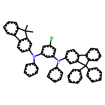 CC1(C)c2ccccc2-c2ccc(N(c3ccccc3)c3cc(Br)cc(N(c4ccccc4)c4ccc5c(c4)C(c4ccccc4)(c4ccccc4)c4ccccc4-5)c3)cc21